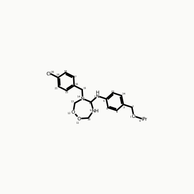 CC(C)OCc1ccc(NC2NCOOCN2Cc2ccc(Cl)cc2)cc1